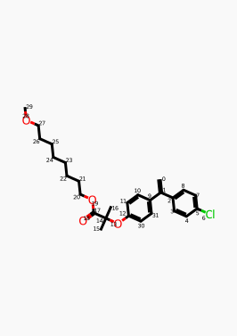 C=C(c1ccc(Cl)cc1)c1ccc(OC(C)(C)C(=O)OCCCCCCCCOC)cc1